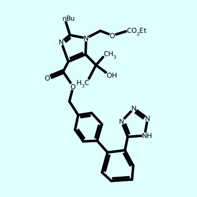 CCCCc1nc(C(=O)OCc2ccc(-c3ccccc3-c3nnn[nH]3)cc2)c(C(C)(C)O)n1COC(=O)OCC